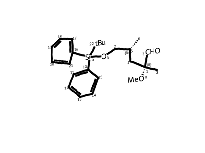 CO[C@@](C)(C=O)C[C@@H](C)CO[Si](c1ccccc1)(c1ccccc1)C(C)(C)C